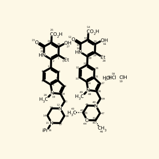 CCc1c(-c2ccc3c(c2)cc(CN2CCN(C(C)C)CC2)n3C)[nH]c(=O)c(C(=O)O)c1O.CCc1c(-c2ccc3c(c2)cc(CN2C[C@@H](C)O[C@@H](C)C2)n3C)[nH]c(=O)c(C(=O)O)c1O.Cl.Cl.Cl